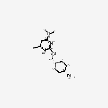 Cc1cc(N(C)C)nc(NC[C@H]2CC[C@@H](N)CC2)n1